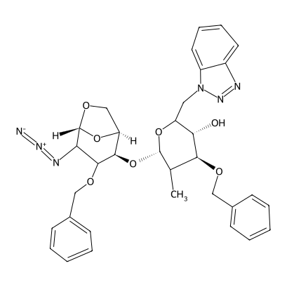 CC1[C@H](O[C@H]2C(OCc3ccccc3)C(N=[N+]=[N-])[C@@H]3OC[C@@H]2O3)OC(Cn2nnc3ccccc32)[C@H](O)[C@H]1OCc1ccccc1